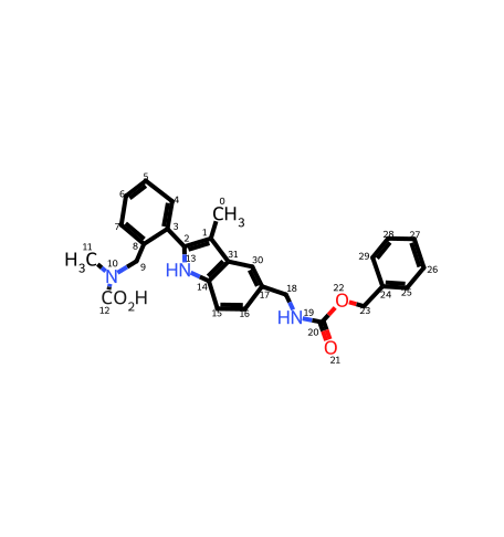 Cc1c(-c2ccccc2CN(C)C(=O)O)[nH]c2ccc(CNC(=O)OCc3ccccc3)cc12